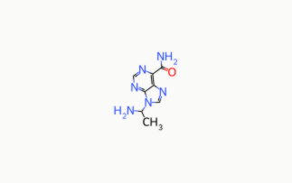 CC(N)n1cnc2c(C(N)=O)ncnc21